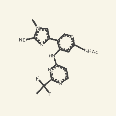 CC(=O)Nc1cc(Nc2ccnc(C(C)(F)F)n2)c(-c2cn(C)c(C#N)n2)cn1